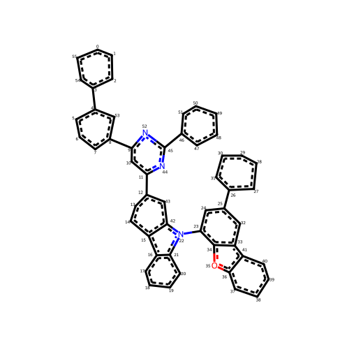 c1ccc(-c2cccc(-c3cc(-c4ccc5c6ccccc6n(-c6cc(-c7ccccc7)cc7c6oc6ccccc67)c5c4)nc(-c4ccccc4)n3)c2)cc1